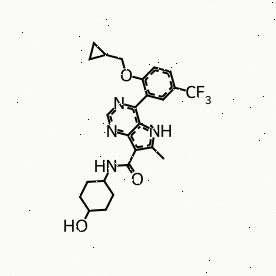 Cc1[nH]c2c(-c3cc(C(F)(F)F)ccc3OCC3CC3)ncnc2c1C(=O)NC1CCC(O)CC1